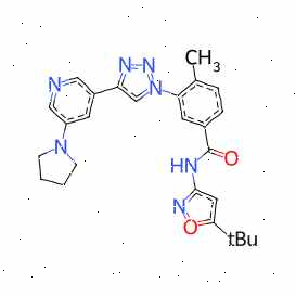 Cc1ccc(C(=O)Nc2cc(C(C)(C)C)on2)cc1-n1cc(-c2cncc(N3CCCC3)c2)nn1